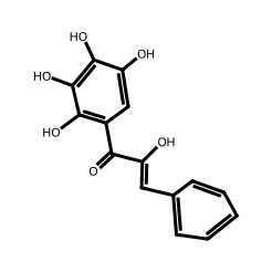 O=C(C(O)=Cc1ccccc1)c1cc(O)c(O)c(O)c1O